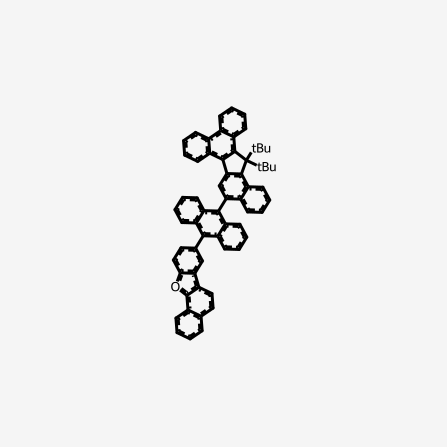 CC(C)(C)C1(C(C)(C)C)c2c(cc(-c3c4ccccc4c(-c4ccc5oc6c7ccccc7ccc6c5c4)c4ccccc34)c3ccccc23)-c2c1c1ccccc1c1ccccc21